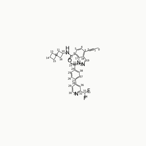 CC#Cc1ccc(C(=O)NC2CC3(CCC3)C2)c2c1cnn2[C@H](C)c1ccc(-c2ccnc(C(F)F)c2)cc1